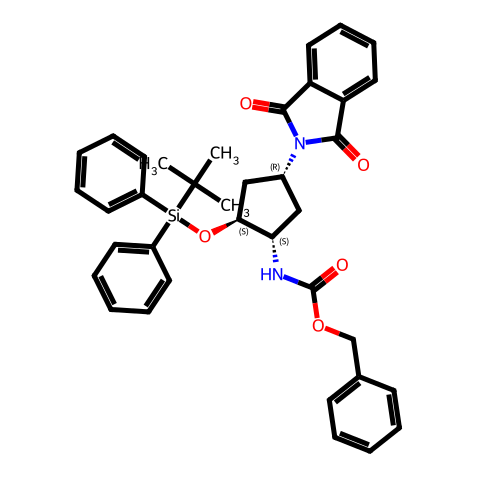 CC(C)(C)[Si](O[C@H]1C[C@H](N2C(=O)c3ccccc3C2=O)C[C@@H]1NC(=O)OCc1ccccc1)(c1ccccc1)c1ccccc1